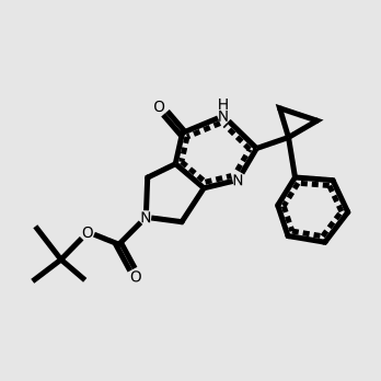 CC(C)(C)OC(=O)N1Cc2nc(C3(c4ccccc4)CC3)[nH]c(=O)c2C1